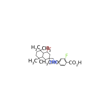 CC1(C)CCC(C)(C)C2C(Br)CC(C=O)(CNc3ccc(C(=O)O)c(F)c3)CC21